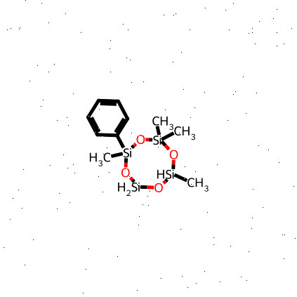 C[SiH]1O[SiH2]O[Si](C)(c2ccccc2)O[Si](C)(C)O1